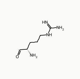 N=C(N)NCCC[C@H](N)[C]=O